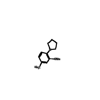 COc1cc(C(=O)O)ccc1N1CCCC1